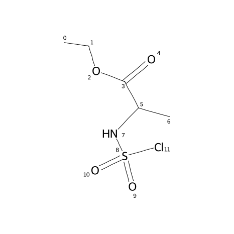 CCOC(=O)C(C)NS(=O)(=O)Cl